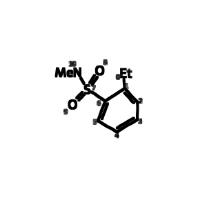 CCc1ccccc1S(=O)(=O)NC